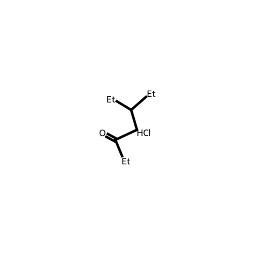 CCC(=O)CC(CC)CC.Cl